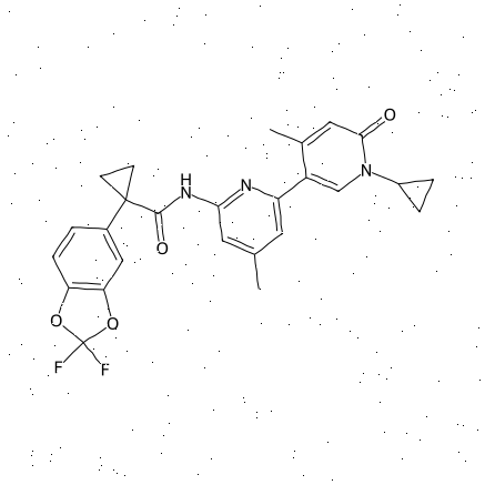 Cc1cc(NC(=O)C2(c3ccc4c(c3)OC(F)(F)O4)CC2)nc(-c2cn(C3CC3)c(=O)cc2C)c1